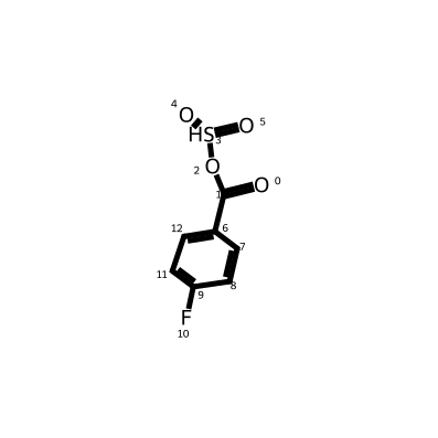 O=C(O[SH](=O)=O)c1ccc(F)cc1